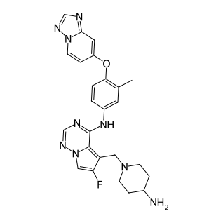 Cc1cc(Nc2ncnn3cc(F)c(CN4CCC(N)CC4)c23)ccc1Oc1ccn2ncnc2c1